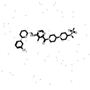 Cc1c(NC[C@H]2CCC[C@@H](C3C=CC=C(C(F)(F)F)C3)O2)ncnc1C(=O)N1CCC(N2CCC(N(C)S(C)(=O)=O)CC2)CC1